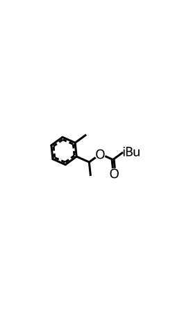 CCC(C)C(=O)OC(C)c1ccccc1C